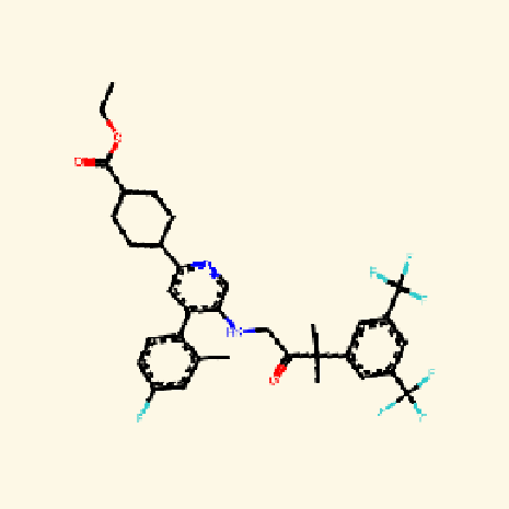 CCOC(=O)C1CCC(c2cc(-c3ccc(F)cc3C)c(NCC(=O)C(C)(C)c3cc(C(F)(F)F)cc(C(F)(F)F)c3)cn2)CC1